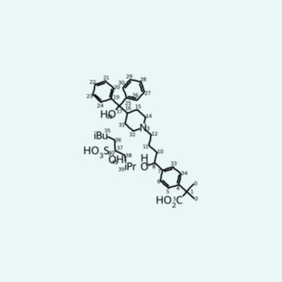 CC(C)(C(=O)O)c1ccc(C(O)CCCN2CCC(C(O)(c3ccccc3)c3ccccc3)CC2)cc1.CCC(C)CCCC(C)C.O=S(=O)(O)O